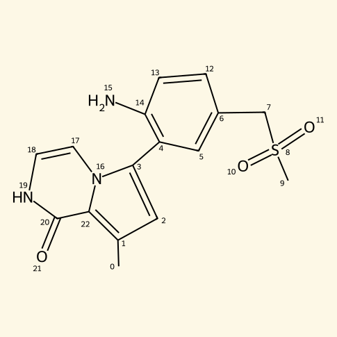 Cc1cc(-c2cc(CS(C)(=O)=O)ccc2N)n2cc[nH]c(=O)c12